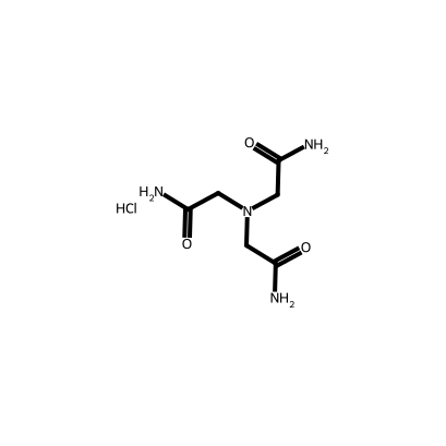 Cl.NC(=O)CN(CC(N)=O)CC(N)=O